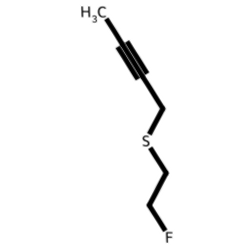 CC#CCSCCF